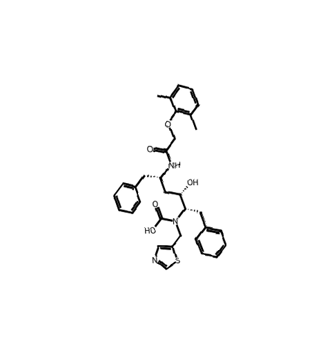 Cc1cccc(C)c1OCC(=O)N[C@@H](Cc1ccccc1)C[C@H](O)[C@H](Cc1ccccc1)N(Cc1cncs1)C(=O)O